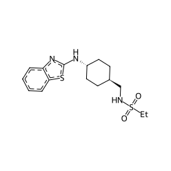 CCS(=O)(=O)NC[C@H]1CC[C@H](Nc2nc3ccccc3s2)CC1